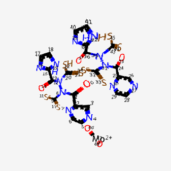 O=C(c1cnccn1)N(C(=S)[S-])N(C(=O)c1ncc[nH]1)C(=S)S.O=C(c1cnccn1)N(C(=S)[S-])N(C(=O)c1ncc[nH]1)C(=S)S.[O]=[Mo+2]=[O]